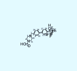 O=C(O)N1CCN(Cc2ccc(-c3ccc(C(O)(C(F)(F)F)C(F)(F)F)cc3)cc2)CC1